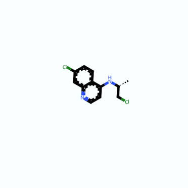 C[C@H](CCl)Nc1ccnc2cc(Cl)ccc12